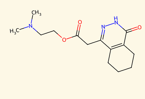 CN(C)CCOC(=O)Cc1n[nH]c(=O)c2c1CCCC2